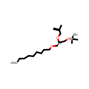 C=C(C)CO[C@H](COCCCCCCCCCCCCCCCCCC)CO[Si](C)(C)C(C)(C)C